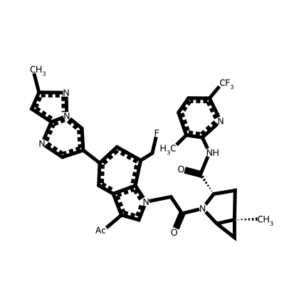 CC(=O)c1cn(CC(=O)N2C3C[C@]3(C)C[C@H]2C(=O)Nc2nc(C(F)(F)F)ccc2C)c2c(CF)cc(-c3cnc4cc(C)nn4c3)cc12